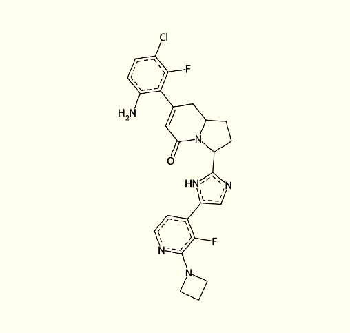 Nc1ccc(Cl)c(F)c1C1=CC(=O)N2C(CCC2c2ncc(-c3ccnc(N4CCC4)c3F)[nH]2)C1